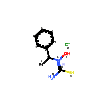 CCC(c1ccccc1)/[N+](O)=C(\N)S.[Cl-]